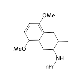 CCCNC1Cc2c(OC)ccc(OC)c2CC1C